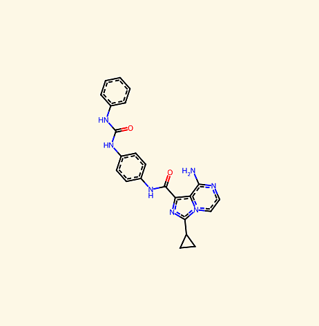 Nc1nccn2c(C3CC3)nc(C(=O)Nc3ccc(NC(=O)Nc4ccccc4)cc3)c12